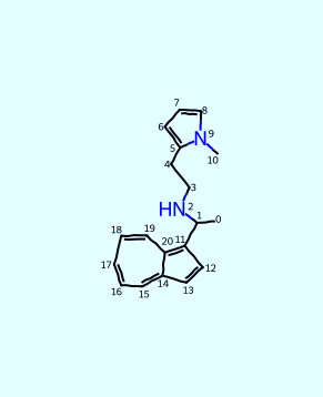 CC(NCCc1cccn1C)c1ccc2cccccc1-2